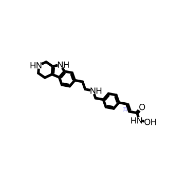 O=C(/C=C/c1ccc(CNCCc2ccc3c4c([nH]c3c2)CNCC4)cc1)NO